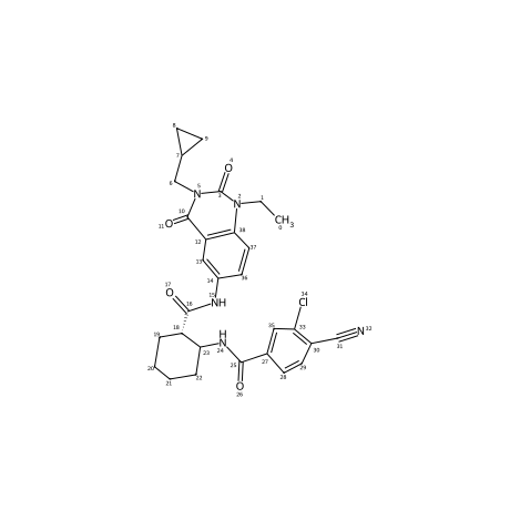 CCn1c(=O)n(CC2CC2)c(=O)c2cc(NC(=O)[C@H]3CCCCC3NC(=O)c3ccc(C#N)c(Cl)c3)ccc21